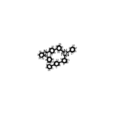 c1ccc(-c2ccc(-c3cccc(-c4nc(-c5ccccc5)nc(-c5cccc(-c6ccc(-c7nc8ccccc8n7-c7ccccc7)cc6)c5)n4)c3)cc2)cc1